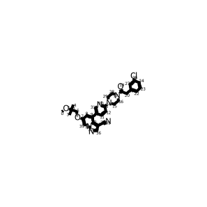 COC(C)(C)COc1cc(-c2ccc(N3CCN(C(=O)Cc4cccc(Cl)c4)CC3)nc2)c2c(C#N)cnn2c1